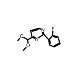 COC(OC)c1ccnc(-c2ccccc2F)n1